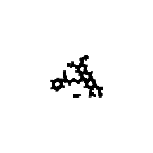 CCN=c1cc2oc3cc(NCC)c(C)cc3c(CCOC(=O)c3ccccc3)c-2cc1C.Cl